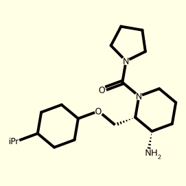 CC(C)C1CCC(OC[C@H]2[C@@H](N)CCCN2C(=O)N2CCCC2)CC1